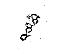 CC1(C)CCN(S(C)(=O)=O)c2cc(Nc3ncnc4c3CCN(c3ccccc3F)C4)ccc21